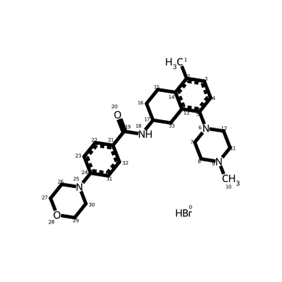 Br.Cc1ccc(N2CCN(C)CC2)c2c1CCC(NC(=O)c1ccc(N3CCOCC3)cc1)C2